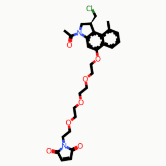 CC(=O)N1C[C@@H](CCl)c2c1cc(OCCOCCOCCOCCN1C(=O)C=CC1=O)c1cccc(C)c21